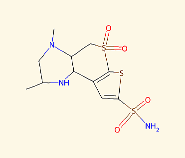 CC1CN(C)C2CS(=O)(=O)c3sc(S(N)(=O)=O)cc3C2N1